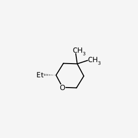 CC[C@@H]1CC(C)(C)CCO1